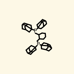 C1CCC(CP(C23CC4CC(CC(C4)C2)C3)C23CC4CC(CC(C4)C2)C3)C(CP(C23CC4CC(CC(C4)C2)C3)C23CC4CC(CC(C4)C2)C3)C1